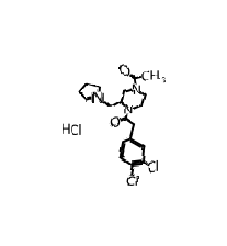 CC(=O)N1CCN(C(=O)Cc2ccc(Cl)c(Cl)c2)C(CN2CCCC2)C1.Cl